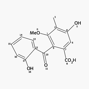 COc1c(C)c(O)cc(C(=O)O)c1C(=O)c1ccccc1O